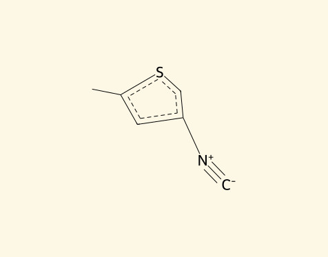 [C-]#[N+]c1csc(C)c1